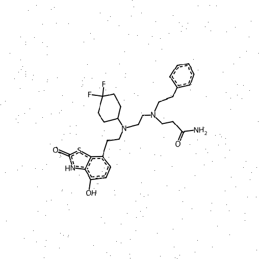 NC(=O)CCN(CCc1ccccc1)CCN(CCc1ccc(O)c2[nH]c(=O)sc12)C1CCC(F)(F)CC1